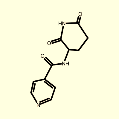 O=C1CCC(NC(=O)c2ccncc2)C(=O)N1